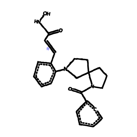 O=C(/C=C/c1ccccc1N1CCC2(CCCN2C(=O)c2ccccc2)C1)NO